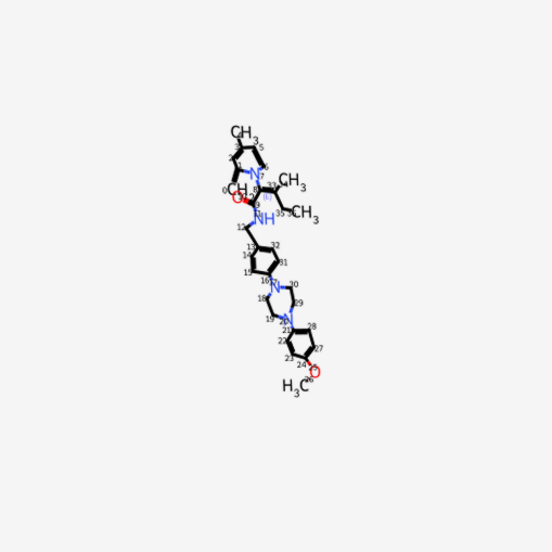 C=C1C=C(C)C=CN1/C(C(=O)NCc1ccc(N2CCN(c3ccc(OC)cc3)CC2)cc1)=C(\C)CC